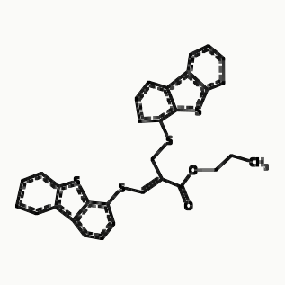 CCCOC(=O)C(=CSc1cccc2c1sc1ccccc12)CSc1cccc2c1sc1ccccc12